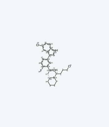 OC(CCCCl)N1CCCC[C@@H]1CNc1nc(-c2c[nH]c3ncc(Cl)cc23)ncc1F